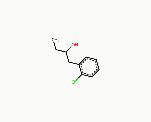 CCC(O)Cc1ccccc1Cl